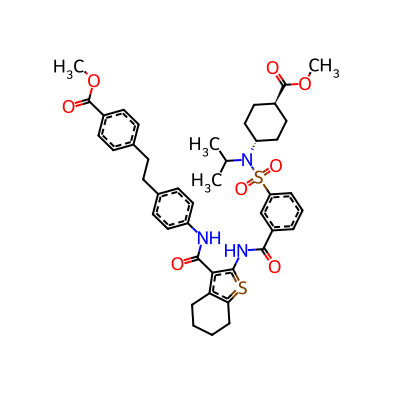 COC(=O)c1ccc(CCc2ccc(NC(=O)c3c(NC(=O)c4cccc(S(=O)(=O)N(C(C)C)[C@H]5CC[C@H](C(=O)OC)CC5)c4)sc4c3CCCC4)cc2)cc1